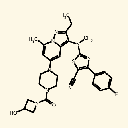 CCc1nn2c(C)cc(N3CCN(C(=O)N4CC(O)C4)CC3)cc2c1N(C)c1nc(-c2ccc(F)cc2)c(C#N)s1